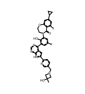 CC1(O)CN(Cc2ccc(-c3cc4c(-c5cc(F)cc(N6CCOc7cc(C8CC8)cc(F)c7C6=O)c5O)ncnc4[nH]3)nc2)C1